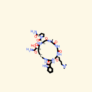 C[C@@H]1NC(=O)C[C@@H](C(=O)N2CCC[C@H]2C(N)=O)NC(=O)[C@H](C(O)C(N)=O)CCCCNC(=O)[C@H](Cc2c[nH]c3ccccc23)NC(=O)[C@H](CCCCN(C)C)NC(=O)CNC1=O